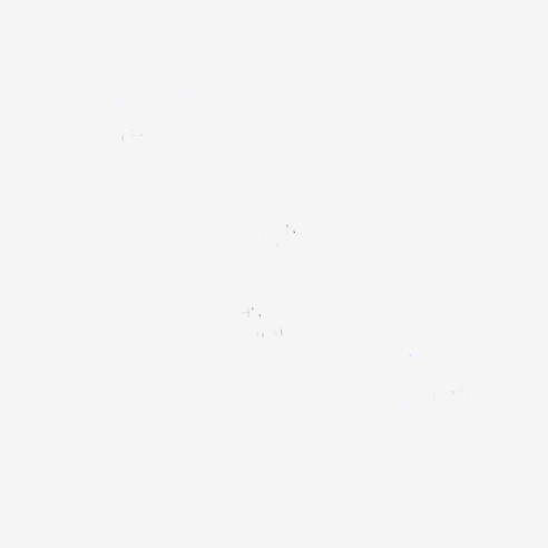 CCCCC/C=C\C/C=C\CCCCCCCCN(CCCCCCCC/C=C\C/C=C\CCCCC)C(=O)CCC(=O)NCCCC